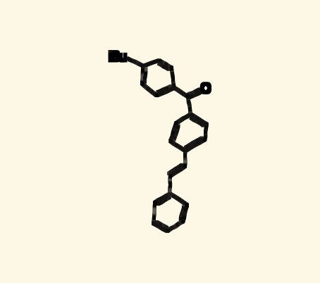 CCC(C)c1ccc(C(=O)c2ccc(C=Cc3ccccc3)cc2)cc1